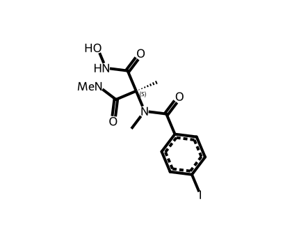 CNC(=O)[C@@](C)(C(=O)NO)N(C)C(=O)c1ccc(I)cc1